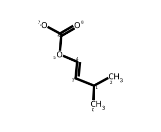 CC(C)/C=C/OC([O])=O